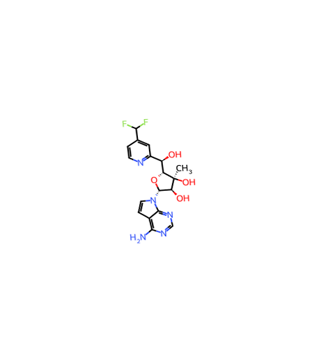 C[C@@]1(O)[C@@H]([C@H](O)c2cc(C(F)F)ccn2)O[C@@H](n2ccc3c(N)ncnc32)[C@@H]1O